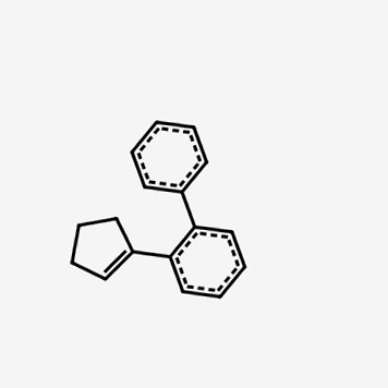 C1=C(c2ccccc2-c2ccccc2)CCC1